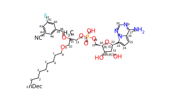 CCCCCCCCCCCCCCCCCCOC[C@](C)(COP(=O)(O)OC[C@H]1O[C@@H](c2ccc3c(N)ncnn23)[C@H](O)[C@@H]1O)OCc1cc(F)cc(C#N)c1